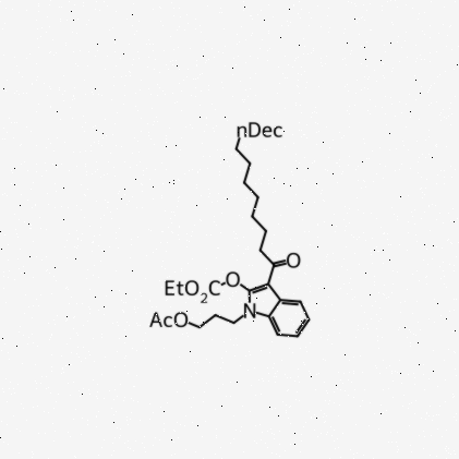 CCCCCCCCCCCCCCCCCC(=O)c1c(OC(=O)OCC)n(CCCOC(C)=O)c2ccccc12